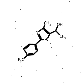 Cc1nc(-c2ccc(C(F)(F)F)cc2)sc1C(O)C(F)(F)F